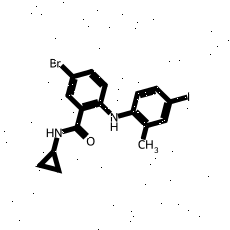 Cc1cc(I)ccc1Nc1ccc(Br)cc1C(=O)NC1CC1